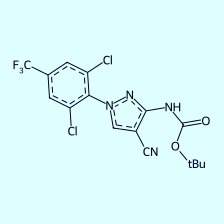 CC(C)(C)OC(=O)Nc1nn(-c2c(Cl)cc(C(F)(F)F)cc2Cl)cc1C#N